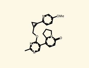 COc1ccc(C2=C(COc3nc(C)ncc3-c3ccc(=O)n4c3CCC4)C2)nc1